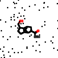 COC(=O)C1CC2CC1C1CCC(CO)C21